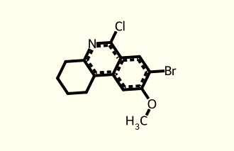 COc1cc2c3c(nc(Cl)c2cc1Br)CCCC3